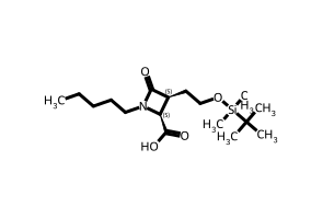 CCCCCN1C(=O)[C@@H](CCO[Si](C)(C)C(C)(C)C)[C@H]1C(=O)O